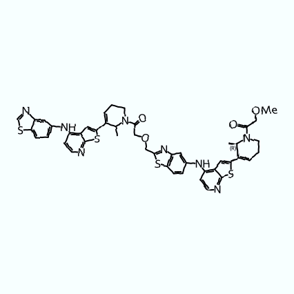 COCC(=O)N1CCC=C(c2cc3c(Nc4ccc5sc(COCC(=O)N6CCC=C(c7cc8c(Nc9ccc%10scnc%10c9)ccnc8s7)C6C)nc5c4)ccnc3s2)[C@H]1C